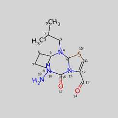 CC(C)CN(C1CCC1)C1SC=C([C]=O)N1C(=O)NN